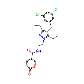 CCc1nn(CCNC(=O)c2ccc(=O)oc2)c(CC)c1Cc1cc(Cl)cc(Cl)c1